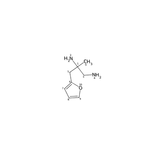 CC(N)(CN)Cc1ccco1